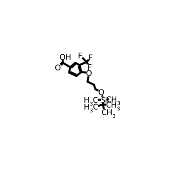 CC(C)(C)[Si](C)(C)OCCCOc1ccc(C(=O)O)cc1C(F)(F)F